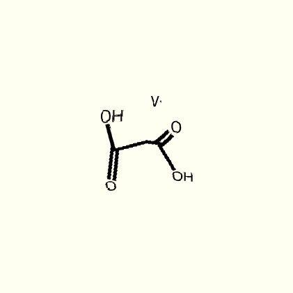 O=C(O)C(=O)O.[V]